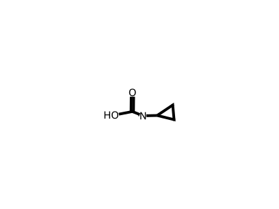 O=C(O)[N]C1CC1